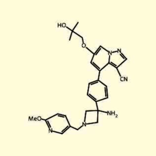 COc1ccc(CN2CC(N)(c3ccc(-c4cc(OCC(C)(C)O)cn5ncc(C#N)c45)cc3)C2)cn1